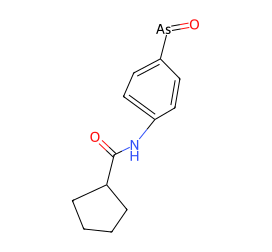 O=[As]c1ccc(NC(=O)C2CCCC2)cc1